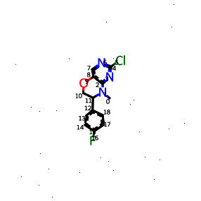 CN1c2nc(Cl)ncc2OCC1c1ccc(F)cc1